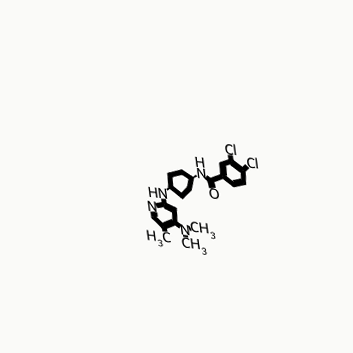 Cc1cnc(N[C@H]2CC[C@@H](NC(=O)c3ccc(Cl)c(Cl)c3)CC2)cc1N(C)C